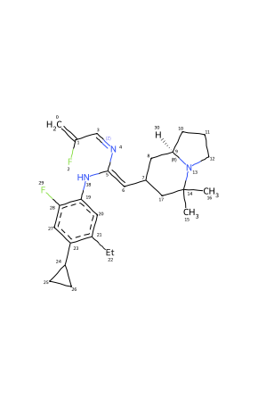 C=C(F)/C=N\C(=CC1C[C@H]2CCCN2C(C)(C)C1)Nc1cc(CC)c(C2CC2)cc1F